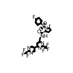 C[C@H]1CC[C@@H](C(=O)NCc2cc(-c3cnc(C(F)(F)F)nc3)nc(C(F)(F)F)n2)N1S(=O)(=O)c1ccc(F)cc1